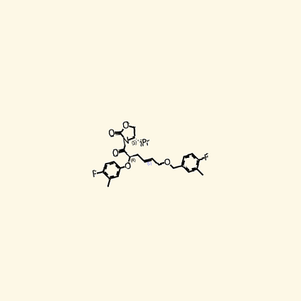 Cc1cc(COC/C=C/C[C@@H](Oc2ccc(F)c(C)c2)C(=O)N2C(=O)OC[C@@H]2C(C)C)ccc1F